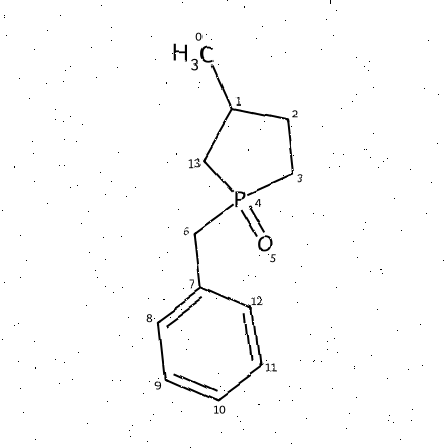 CC1CCP(=O)(Cc2ccccc2)C1